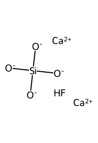 F.[Ca+2].[Ca+2].[O-][Si]([O-])([O-])[O-]